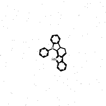 C1=c2c([nH]c3ccccc23)=C2C(C1)c1ccccc1N2c1ccccc1